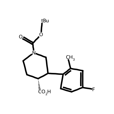 Cc1cc(F)ccc1C1CN(C(=O)OC(C)(C)C)CC[C@H]1C(=O)O